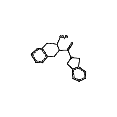 CCOC(=O)C1Cc2ccccc2CC1C(=O)N1Cc2ccccc2C1